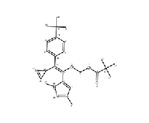 Cc1cc(/C(OCOC(=O)C(C)(C)C)=C(/c2ccc(C(C)(C)C)cc2)C2C=N2)n(C)n1